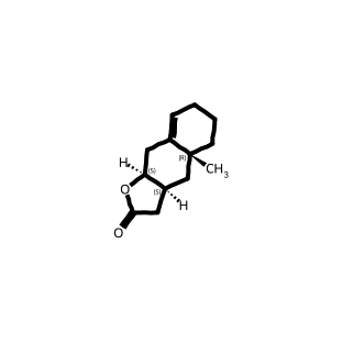 C[C@]12CCCC=C1C[C@@H]1OC(=O)C[C@@H]1C2